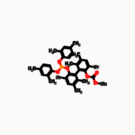 Cc1ccc(OP(Oc2ccc(C)cc2C)Oc2c(C(C)C)cc(C)c(C)c2-c2c(C)c(C)cc(C(C)C)c2OC(=O)OC(C)(C)C)c(C)c1